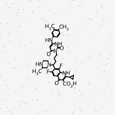 Cc1ccc(Nc2cc(=O)n(CCCC(c3c(F)cc4c(=O)c(C(=O)O)c(C5CC5)[nH]c4c3F)N3CCNC(C)C3)c(=O)[nH]2)cc1C